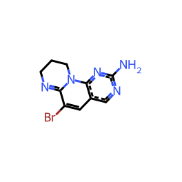 Nc1ncc2c(n1)N1CCCN=C1C(Br)=C2